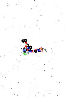 CCOC(=O)c1c(CCCOc2cccc3ccccc23)c2cccc(-c3c(COc4ccc(N5CCN(S(C)(=O)=O)CC5)cc4)nn(C)c3CBr)c2n1CCCNC.Cl